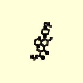 CC(=O)c1cn2c3c(c(N4CCN(C)CC4)c(F)cc3c1=O)SCC2